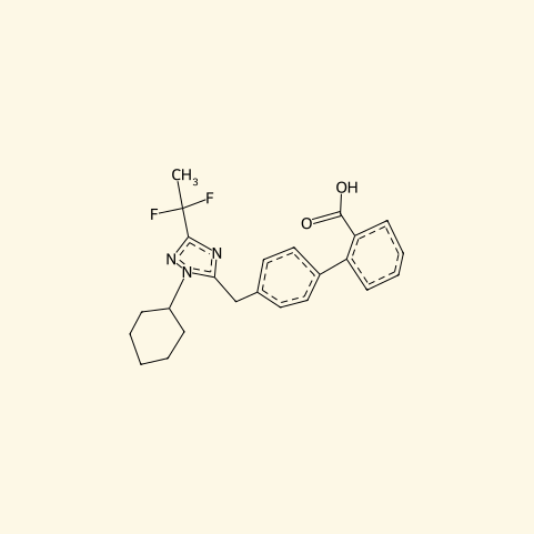 CC(F)(F)c1nc(Cc2ccc(-c3ccccc3C(=O)O)cc2)n(C2CCCCC2)n1